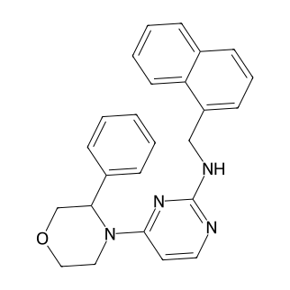 c1ccc(C2COCCN2c2ccnc(NCc3cccc4ccccc34)n2)cc1